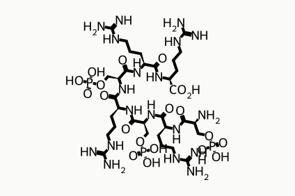 N=C(N)NCCC[C@H](NC(=O)[C@H](CCCNC(=N)N)NC(=O)[C@H](COP(=O)(O)O)NC(=O)[C@H](CCCNC(=N)N)NC(=O)[C@H](COP(=O)(O)O)NC(=O)[C@H](CCCNC(=N)N)NC(=O)[C@@H](N)COP(=O)(O)O)C(=O)O